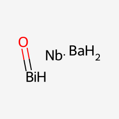 [BaH2].[Nb].[O]=[BiH]